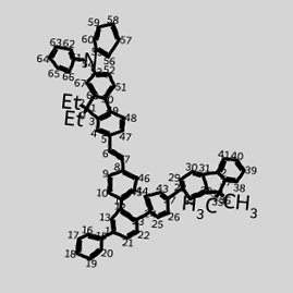 CCC1(CC)c2cc(/C=C/c3ccc(-c4cc(-c5ccccc5)ccc4-c4ccc(-c5ccc6c(c5)C(C)(C)c5ccccc5-6)cc4)cc3)ccc2-c2ccc(N(c3ccccc3)c3ccccc3)cc21